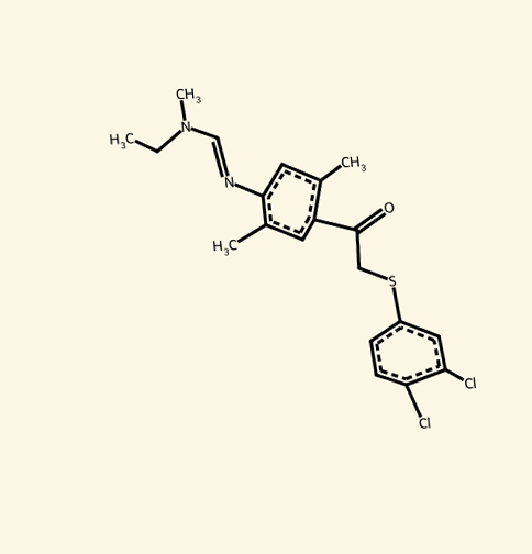 CCN(C)C=Nc1cc(C)c(C(=O)CSc2ccc(Cl)c(Cl)c2)cc1C